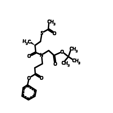 CC(=O)SC[C@@H](C)C(=O)N(CCC(=O)Oc1ccccc1)CC(=O)OC(C)(C)C